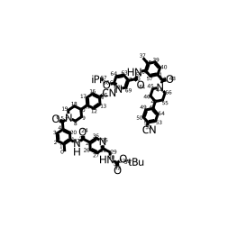 Cc1ccc(C(=O)N2CCC(c3ccc(C#N)cc3)CC2)cc1NC(=O)c1ccc(CNC(=O)OC(C)(C)C)nc1.Cc1ccc(C(=O)N2CCC(c3ccc(C#N)cc3)CC2)cc1NC(=O)c1ccc(OC(C)C)nc1